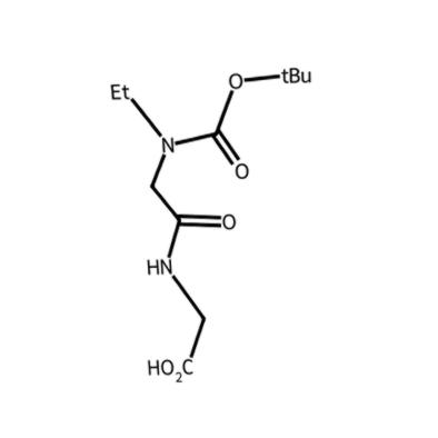 CCN(CC(=O)NCC(=O)O)C(=O)OC(C)(C)C